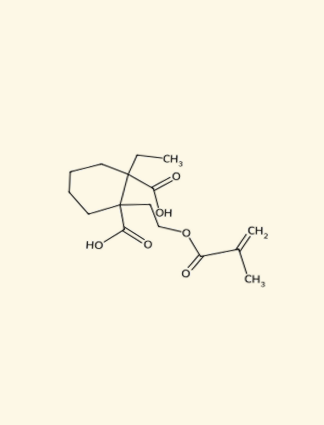 C=C(C)C(=O)OCCC1(C(=O)O)CCCCC1(CC)C(=O)O